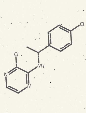 CC(Nc1nccnc1Cl)c1ccc(Cl)cc1